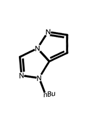 CCCCn1ncn2nccc12